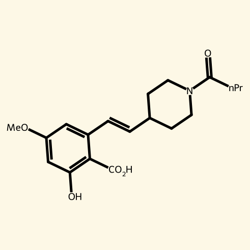 CCCC(=O)N1CCC(C=Cc2cc(OC)cc(O)c2C(=O)O)CC1